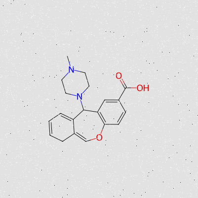 CN1CCN(C2C3=CC=CCC3=COc3ccc(C(=O)O)cc32)CC1